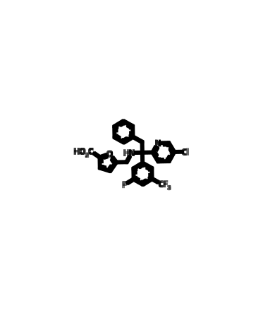 O=C(O)c1ccc(CNC(Cc2ccccc2)(c2cc(F)cc(C(F)(F)F)c2)c2ccc(Cl)cn2)o1